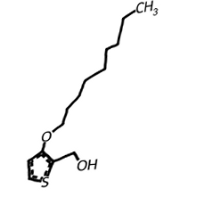 CCCCCCCCCOc1ccsc1CO